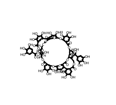 O=C(O[C@@H]1[C@H]2OC(=O)c3cc(O)c(O)c(O)c3Oc3cc4c(c(O)c3O)-c3c(cc(O)c(O)c3O)C(=O)OC[C@H]3O[C@@H](O)[C@H](OC(=O)c5cc(O)c(O)c(O)c5Oc5cc6c(c(O)c5O)-c5cc(c(O)c(O)c5O)C(=O)O[C@@H]1[C@@H](COC6=O)O[C@H]2O)[C@@H](OC(=O)c1cc(O)c(O)c(O)c1)[C@@H]3OC4=O)c1cc(O)c(O)c(O)c1